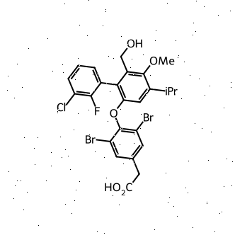 COc1c(C(C)C)cc(Oc2c(Br)cc(CC(=O)O)cc2Br)c(-c2cccc(Cl)c2F)c1CO